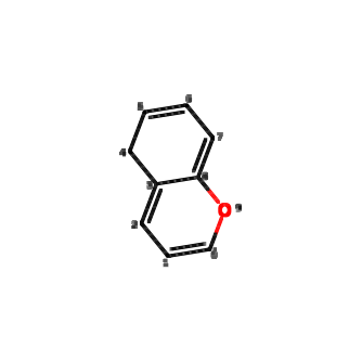 [C]1=CC=C2CC=CC=C2O1